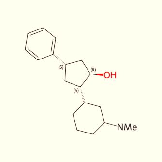 CNC1CCCC([C@@H]2C[C@H](c3ccccc3)C[C@H]2O)C1